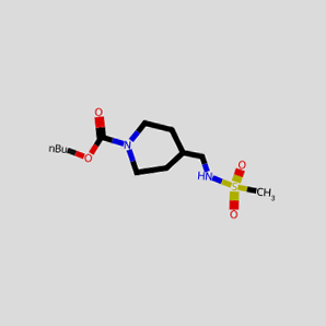 CCCCOC(=O)N1CCC(CNS(C)(=O)=O)CC1